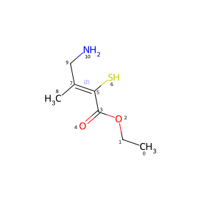 CCOC(=O)/C(S)=C(\C)CN